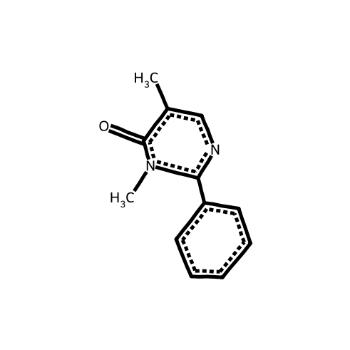 Cc1cnc(-c2ccccc2)n(C)c1=O